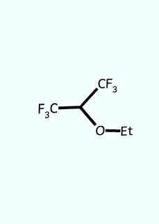 [CH2]COC(C(F)(F)F)C(F)(F)F